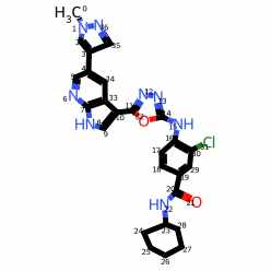 Cn1cc(-c2cnc3[nH]cc(-c4nnc(Nc5ccc(C(=O)NC6CCCCC6)cc5Cl)o4)c3c2)cn1